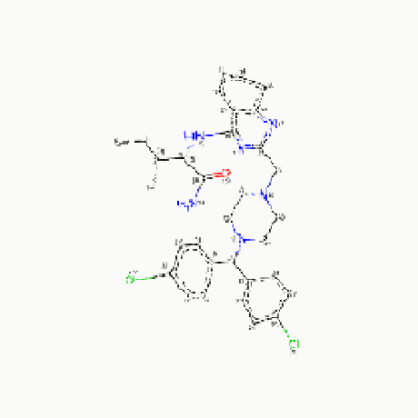 CC[C@@H](C)[C@H](Nc1nc(CN2CCN(C(c3ccc(Cl)cc3)c3ccc(Cl)cc3)CC2)nc2ccccc12)C(N)=O